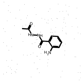 CC(=O)NNC(=O)c1ccccc1N